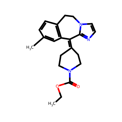 CCOC(=O)N1CCC(=C2c3cc(C)ccc3CCn3ccnc32)CC1